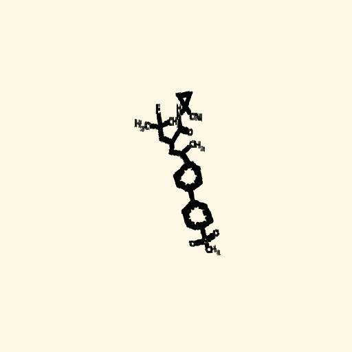 CC(CC(CC(C)(C)F)C(=O)NC1(C#N)CC1)c1ccc(-c2ccc(S(C)(=O)=O)cc2)cc1